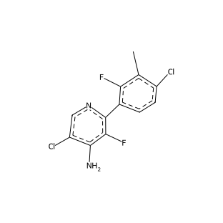 Cc1c(Cl)ccc(-c2ncc(Cl)c(N)c2F)c1F